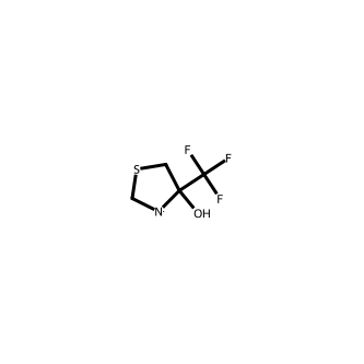 OC1(C(F)(F)F)CSC[N]1